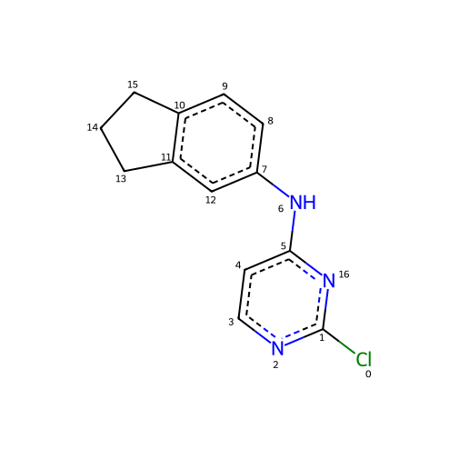 Clc1nccc(Nc2ccc3c(c2)CCC3)n1